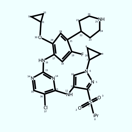 CC(C)S(=O)(=O)c1nn(C2CC2)cc1Nc1nc(Nc2cc(F)c(C3CCNCC3)cc2OC2CC2)ncc1Cl